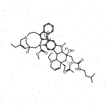 CCC1=C[C@@H]2CN(CCc3c([nH]c4ccccc34)[C@@](C(=O)OC)(c3cc4c(cc3OC)N(C)[C@H]3C(O)(COC(=O)NCCC(C)C)[C@H](OC(C)=O)[C@]5(CC)C=CCN6CC[C@]43C65)C2)C1